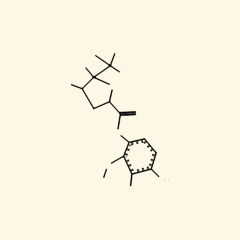 COc1c(OC(=O)C2CC(C)C(C)(C(F)(F)F)O2)ccc(O)c1F